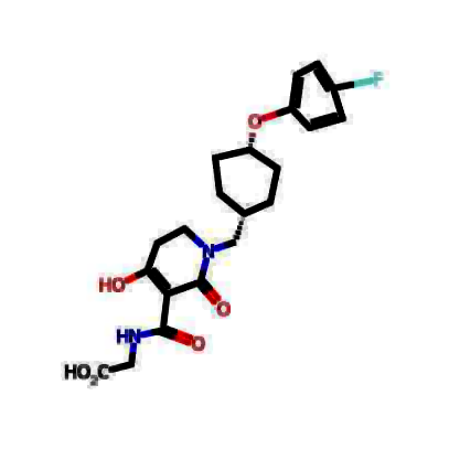 O=C(O)CNC(=O)C1=C(O)CCN(C[C@H]2CC[C@@H](Oc3ccc(F)cc3)CC2)C1=O